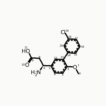 COc1ccc([C@@H](N)CC(=O)O)cc1-c1cccc(Cl)c1